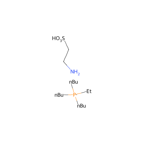 CCCC[P](CC)(CCCC)CCCC.NCCS(=O)(=O)O